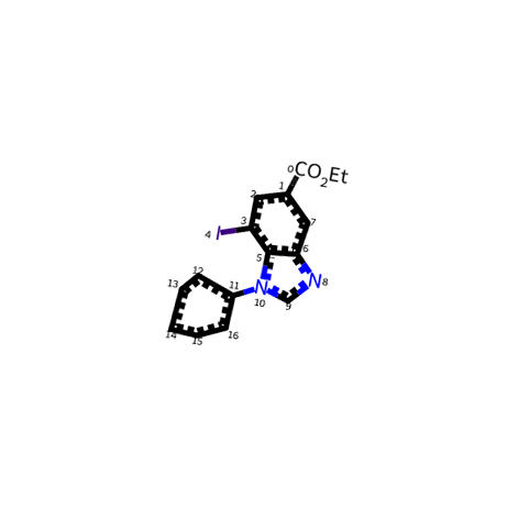 CCOC(=O)c1cc(I)c2c(c1)ncn2-c1ccccc1